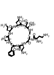 CC(C)C[C@@H]1NC[C@](C=O)(Cc2ccccc2)NC(=O)[C@H](CCN)NC(=O)[C@@H](NC(=O)[C@@H](N)CCN)CCNC(O)[C@H]([C@@H](C)O)NC(=O)[C@H](CCN)NC(=O)[C@H](CCN)NC1=O